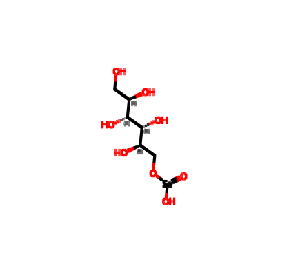 O=[Se](O)OC[C@@H](O)[C@@H](O)[C@H](O)[C@H](O)CO